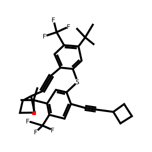 CC(C)(C)c1cc(Sc2cc(C(C)(C)C)c(C(F)(F)F)cc2C#CC2CCC2)c(C#CC2CCC2)cc1C(F)(F)F